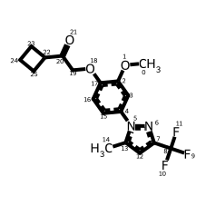 COc1cc(-n2nc(C(F)(F)F)cc2C)ccc1OCC(=O)C1CCC1